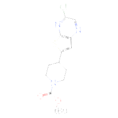 CC(C)(C)OC(=O)N1CCC(c2cc3ncc(Cl)nc3s2)CC1